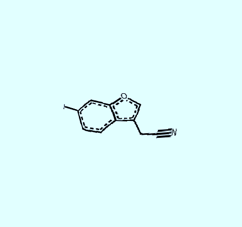 N#CCc1coc2cc(I)ccc12